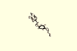 C=CCOc1ccc(OCC(OCC)OCC)cc1